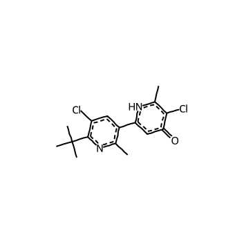 Cc1nc(C(C)(C)C)c(Cl)cc1-c1cc(=O)c(Cl)c(C)[nH]1